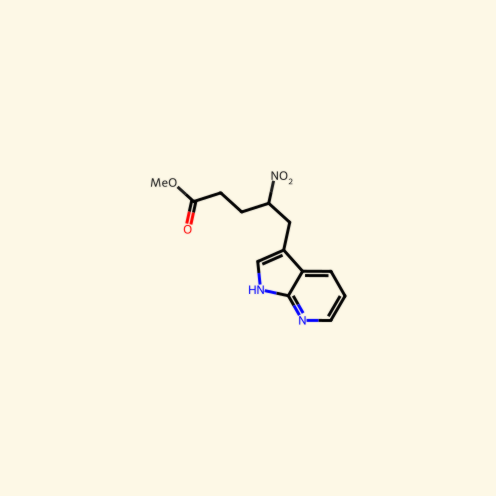 COC(=O)CCC(Cc1c[nH]c2ncccc12)[N+](=O)[O-]